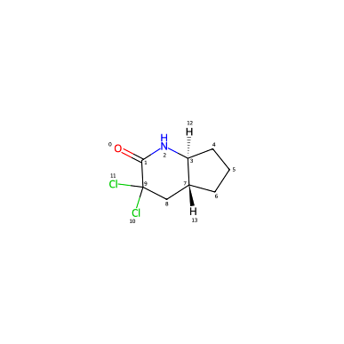 O=C1N[C@H]2CCC[C@@H]2CC1(Cl)Cl